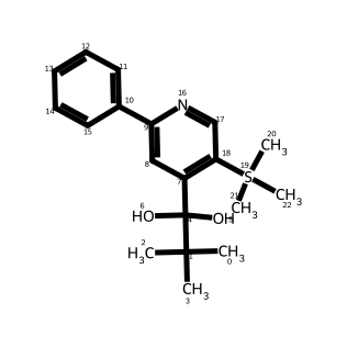 CC(C)(C)C(O)(O)c1cc(-c2ccccc2)ncc1S(C)(C)C